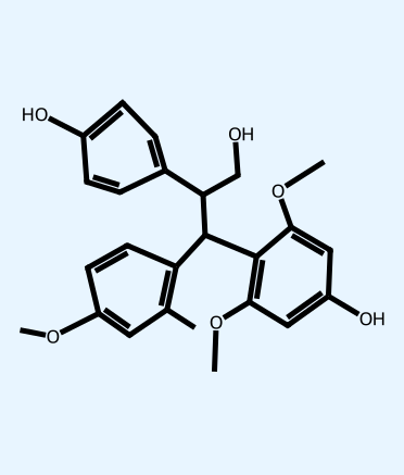 COc1ccc(C(c2c(OC)cc(O)cc2OC)C(CO)c2ccc(O)cc2)c(C)c1